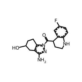 Nc1nn(C(=O)C2CCNc3ccc(F)cc32)c2c1CC(O)CC2